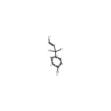 FC(F)(C=CI)c1ccc(Cl)cc1